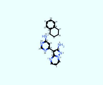 Nc1nn2cccnc2c1-c1cc(N[C@H]2CCCc3ccccc32)ncn1